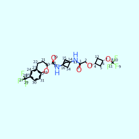 O=C(CO[C@H]1C[C@@H](OC(F)(F)F)C1)NC12CC(NC(=O)[C@H]3CCc4cc(C(F)(F)F)ccc4O3)(C1)C2